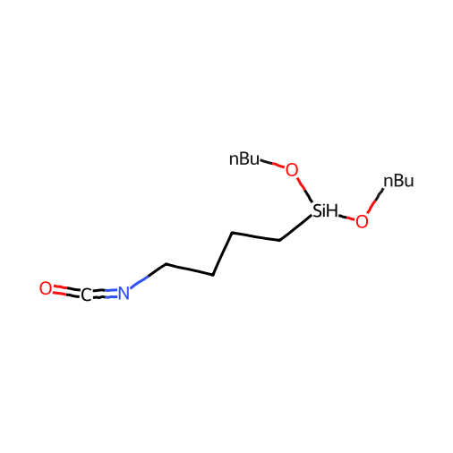 CCCCO[SiH](CCCCN=C=O)OCCCC